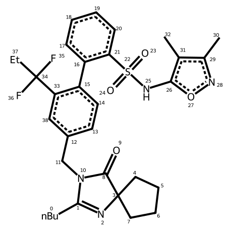 CCCCC1=NC2(CCCC2)C(=O)N1Cc1ccc(-c2ccccc2S(=O)(=O)Nc2onc(C)c2C)c(C(F)(F)CC)c1